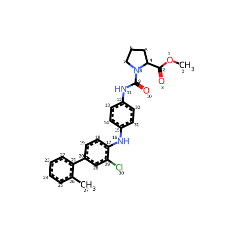 COC(=O)C1CCCN1C(=O)Nc1ccc(Nc2ccc(-c3ccccc3C)cc2Cl)cc1